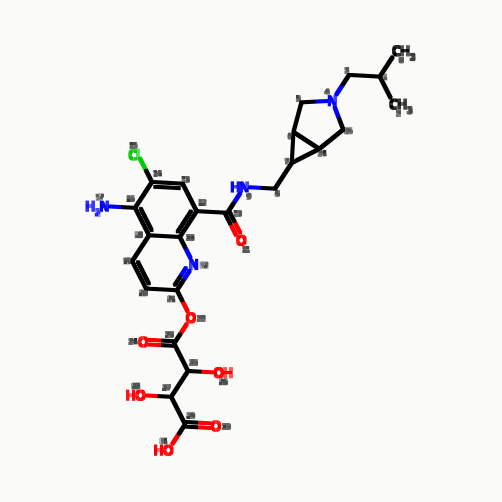 CC(C)CN1CC2C(CNC(=O)c3cc(Cl)c(N)c4ccc(OC(=O)C(O)C(O)C(=O)O)nc34)C2C1